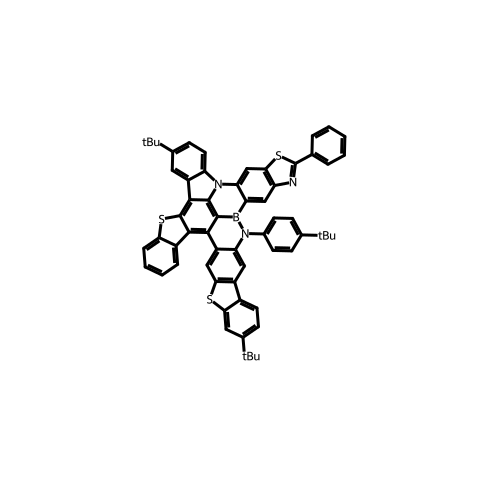 CC(C)(C)c1ccc(N2B3c4cc5nc(-c6ccccc6)sc5cc4-n4c5ccc(C(C)(C)C)cc5c5c6sc7ccccc7c6c(c3c54)-c3cc4sc5cc(C(C)(C)C)ccc5c4cc32)cc1